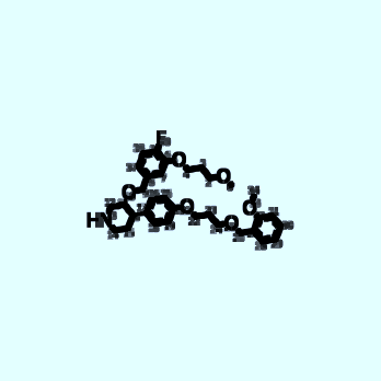 COCCCOc1cc(CO[C@H]2CNCC[C@@H]2c2ccc(OCCCOCc3ccccc3OC)cc2)ccc1F